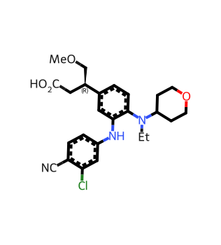 CCN(c1ccc([C@H](COC)CC(=O)O)cc1Nc1ccc(C#N)c(Cl)c1)C1CCOCC1